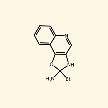 CCC1(N)Nc2cnc3ccccc3c2O1